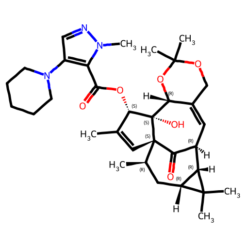 CC1=C[C@]23C(=O)[C@@H](C=C4COC(C)(C)O[C@H]4[C@]2(O)[C@H]1OC(=O)c1c(N2CCCCC2)cnn1C)[C@H]1[C@@H](C[C@H]3C)C1(C)C